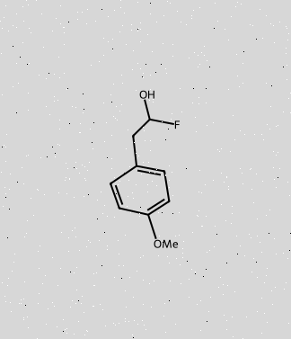 COc1ccc(CC(O)F)cc1